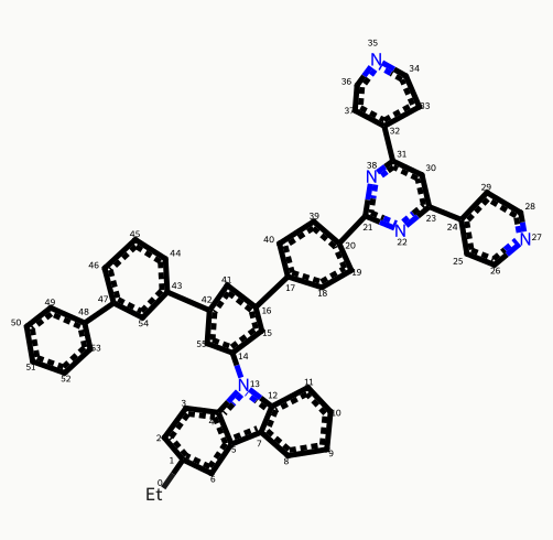 CCc1ccc2c(c1)c1ccccc1n2-c1cc(-c2ccc(-c3nc(-c4ccncc4)cc(-c4ccncc4)n3)cc2)cc(-c2cccc(-c3ccccc3)c2)c1